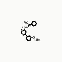 CCCCOc1cccc(-c2cc(NC[C@H](O)c3ccccc3)ncn2)c1